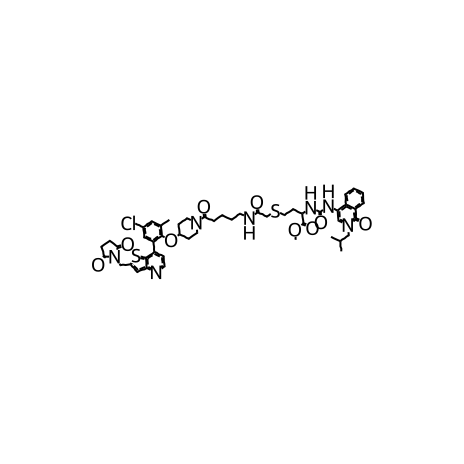 COC(=O)C(CCSCC(=O)NCCCCC(=O)N1CCC(Oc2c(C)cc(Cl)cc2-c2ccnc3cc(CN4C(=O)CCC4=O)sc23)CC1)NC(=O)Nc1cn(CC(C)C)c(=O)c2ccccc12